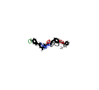 Cc1cc(-c2ccc(Cl)cc2)cn2cc(C(=O)N[C@@H](Cc3ccc(OCc4ccccc4)cc3)C(=O)O)nc12